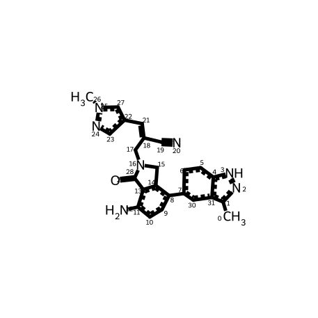 Cc1n[nH]c2ccc(-c3ccc(N)c4c3CN(C/C(C#N)=C\c3cnn(C)c3)C4=O)cc12